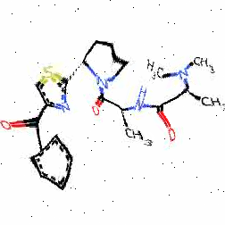 C[C@H](NC(=O)[C@H](C)N(C)C)C(=O)N1CCC[C@H]1c1nc(C(=O)c2ccccc2)cs1